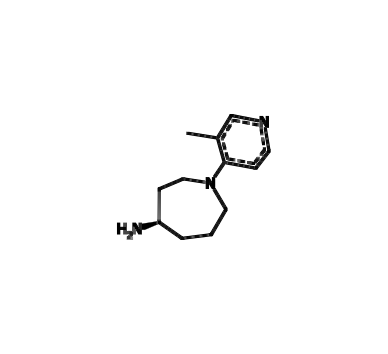 Cc1cnccc1N1CCC[C@@H](N)CC1